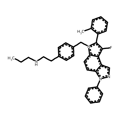 CCCNCCc1ccc(Cn2c(-c3ccccc3C)c(F)c3c4cnn(-c5ccccc5)c4ccc32)cc1